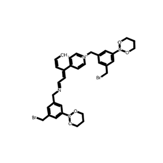 C\C=C/C(=C\C=N\Cc1cc(CBr)cc(B2OCCCO2)c1)c1cc[n+](Cc2cc(CBr)cc(B3OCCCO3)c2)cc1